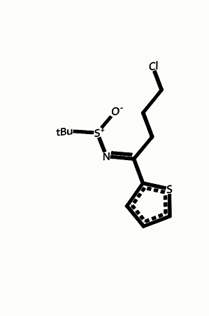 CC(C)(C)[S+]([O-])N=C(CCCCl)c1cccs1